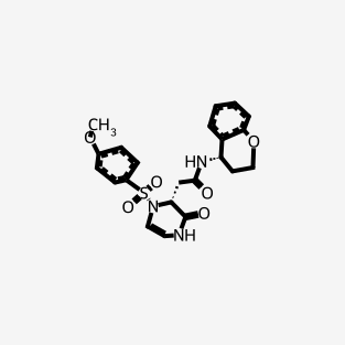 COc1ccc(S(=O)(=O)N2C=CNC(=O)[C@H]2CC(=O)N[C@H]2CCOc3ccccc32)cc1